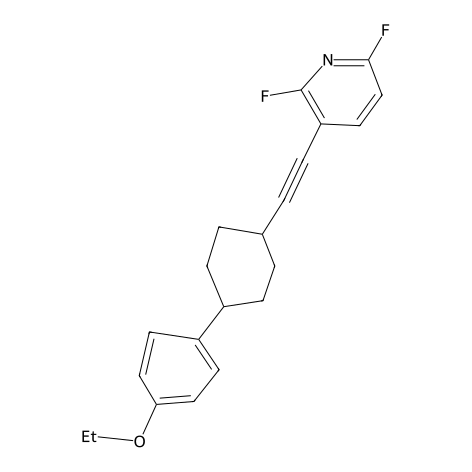 CCOc1ccc(C2CCC(C#Cc3ccc(F)nc3F)CC2)cc1